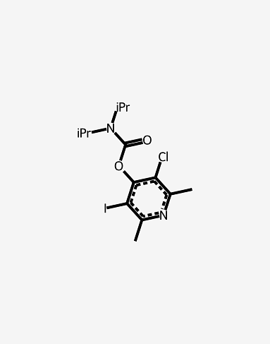 Cc1nc(C)c(I)c(OC(=O)N(C(C)C)C(C)C)c1Cl